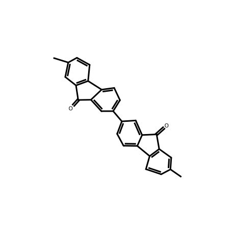 Cc1ccc2c(c1)C(=O)c1cc(-c3ccc4c(c3)C(=O)c3cc(C)ccc3-4)ccc1-2